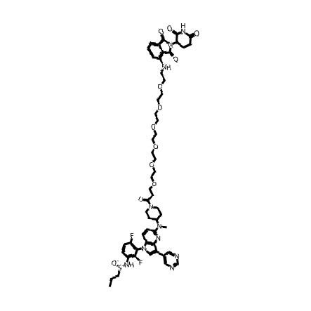 CCC[S+]([O-])Nc1ccc(F)c(-n2cc(-c3cncnc3)c3nc(N(C)C4CCN(C(=O)CCOCCOCCOCCOCCOCCOCCNc5cccc6c5C(=O)N(C5CCC(=O)NC5=O)C6=O)CC4)ccc32)c1F